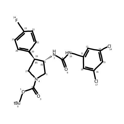 CC(C)(C)OC(=O)N1C[C@@H](NC(=O)Nc2cc(Cl)cc(Cl)c2)[C@H](c2ccc(F)cc2)C1